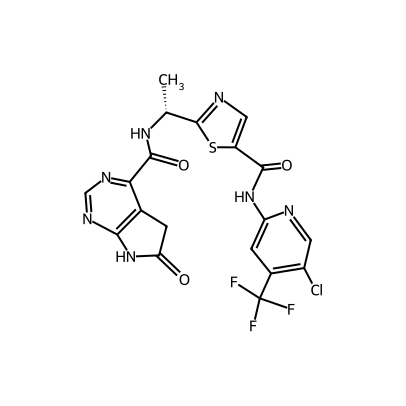 C[C@@H](NC(=O)c1ncnc2c1CC(=O)N2)c1ncc(C(=O)Nc2cc(C(F)(F)F)c(Cl)cn2)s1